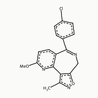 COc1ccc2c(n1)-c1c(C)noc1CN=C2c1ccc(Cl)cc1